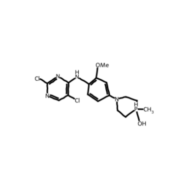 COc1cc(N2CC[PH](C)(O)CC2)ccc1Nc1nc(Cl)ncc1Cl